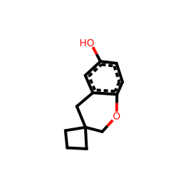 Oc1ccc2c(c1)CC1(CCC1)CO2